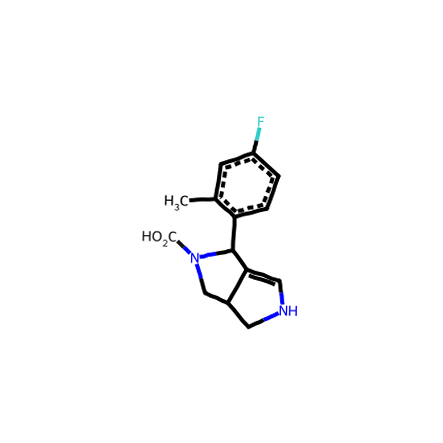 Cc1cc(F)ccc1C1C2=CNCC2CN1C(=O)O